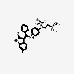 CCCCS(=O)(=O)N(CCN(C)C)c1ccc(NC(=C2C(=O)Nc3cc(F)ccc32)c2ccccc2)cc1